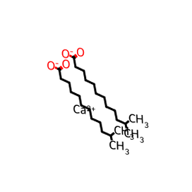 CC(C)CCCCCCCCCC(=O)[O-].CC(C)CCCCCCCCCC(=O)[O-].[Ca+2]